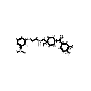 CN(C)c1cccc(OCCNCC2(F)CCN(C(=O)c3ccc(F)c(Cl)c3)CC2)c1